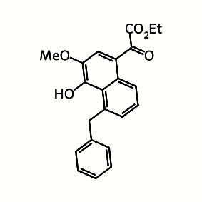 CCOC(=O)C(=O)c1cc(OC)c(O)c2c(Cc3ccccc3)cccc12